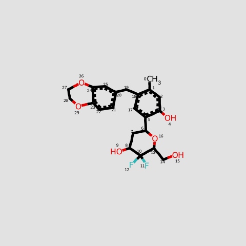 Cc1cc(O)c(C2CC(O)C(F)(F)C(CO)O2)cc1Cc1ccc2c(c1)OCCO2